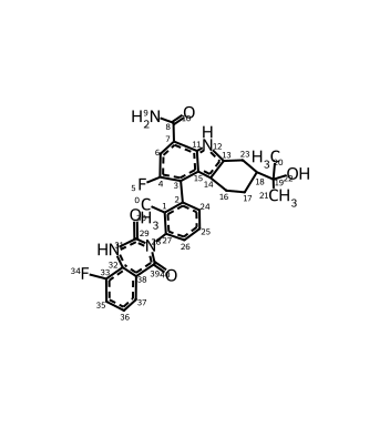 Cc1c(-c2c(F)cc(C(N)=O)c3[nH]c4c(c23)CCC(C(C)(C)O)C4)cccc1-n1c(=O)[nH]c2c(F)cccc2c1=O